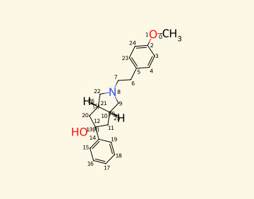 COc1ccc(CCN2C[C@@H]3C[C@@](O)(c4ccccc4)C[C@@H]3C2)cc1